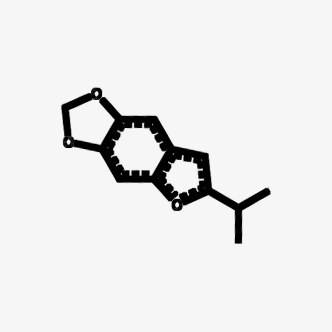 CC(C)c1cc2cc3c(cc2o1)OCO3